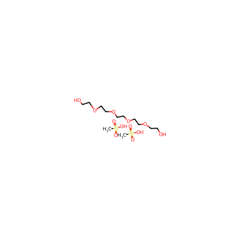 CS(=O)(=O)O.CS(=O)(=O)O.OCCOCCOCCOCCOCCO